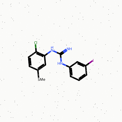 CSc1ccc(Cl)c(NC(=N)Nc2cccc(I)c2)c1